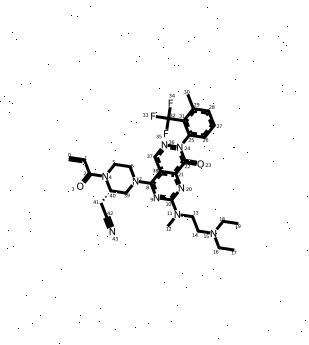 C=CC(=O)N1CCN(c2nc(N(C)CCN(CC)CC)nc3c(=O)n(-c4cccc(C)c4C(F)(F)F)ncc23)C[C@@H]1CC#N